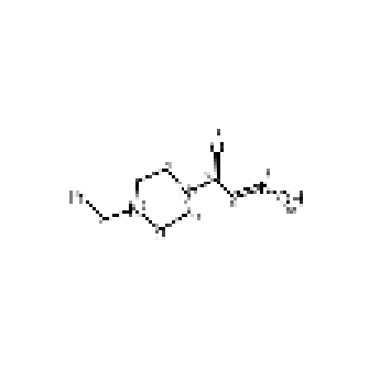 CC(C)CN1CCN(C(=O)/C=N/O)CC1